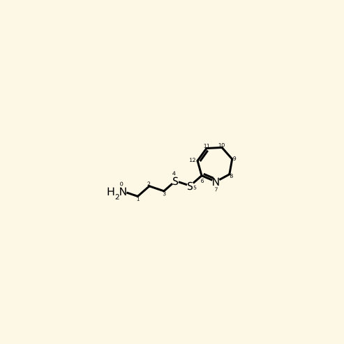 NCCCSSC1=NCCCC=C1